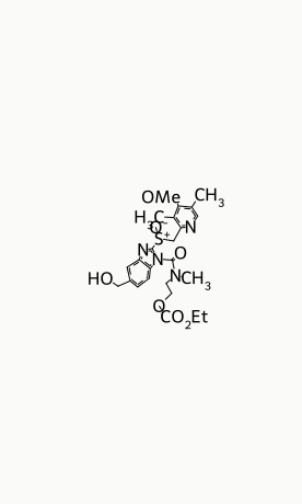 CCOC(=O)OCCN(C)C(=O)n1c([S+]([O-])Cc2ncc(C)c(OC)c2C)nc2cc(CO)ccc21